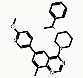 COc1ccc(-c2cc(C)c3ncnc(N4CCC[C@@H]([C](C)c5ccccc5)C4)c3c2)cn1